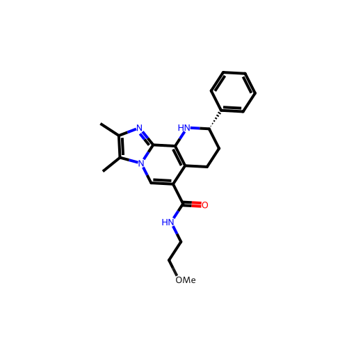 COCCNC(=O)c1cn2c(C)c(C)nc2c2c1CC[C@@H](c1ccccc1)N2